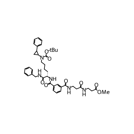 COC(=O)CCNC(=O)CCNC(=O)c1cccc(C(=O)N[C@@H](CCCCN(C(=O)OC(C)(C)C)C2CC2c2ccccc2)C(=O)NCc2ccccc2)c1